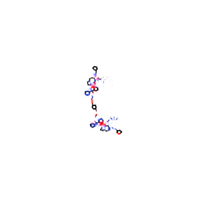 CC[C@H](NC)C(=O)N[C@@H]1C(=O)N2[C@@H](CC[C@@H]1CNCc1ccccc1)CC[C@H]2C(=O)NC(C(=O)NCCOCc1ccc(COCCNC(=O)C(NC(=O)[C@@H]2CC[C@@H]3CC[C@H](CNCc4ccccc4)[C@H](NC(=O)[C@H](CC)NC)C(=O)N32)(c2ccccc2)c2ccccc2)cc1)(c1ccccc1)c1ccccc1